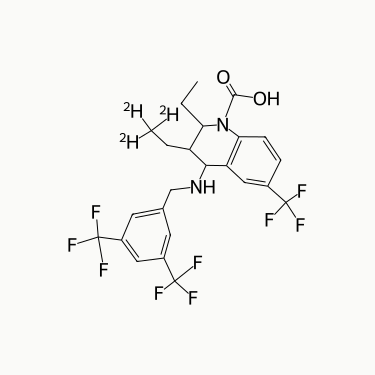 [2H]C([2H])([2H])CC1C(NCc2cc(C(F)(F)F)cc(C(F)(F)F)c2)c2cc(C(F)(F)F)ccc2N(C(=O)O)C1CC